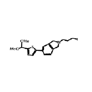 COC(OC)c1ccc(-c2ccc3c(c2)CN(CCCI)C3)s1